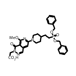 COc1nc(N2CCC(CCP(=O)(OCc3ccccc3)OCc3ccccc3)CC2)cc2cnn(CC(=O)O)c(=O)c12